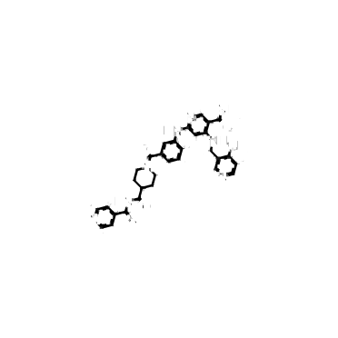 N=C(NC(=O)C1CCN(C(=O)c2cccc(Nc3cc(NCc4cnccc4C(F)(F)F)c(C(N)=O)cn3)c2)CC1)c1ccncc1